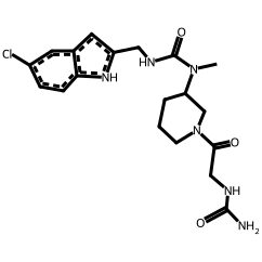 CN(C(=O)NCc1cc2cc(Cl)ccc2[nH]1)C1CCCN(C(=O)CNC(N)=O)C1